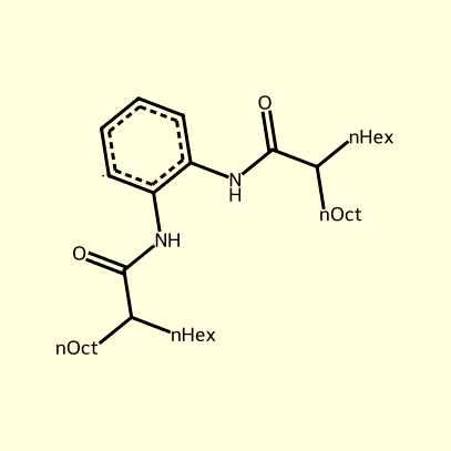 CCCCCCCCC(CCCCCC)C(=O)Nc1[c]cccc1NC(=O)C(CCCCCC)CCCCCCCC